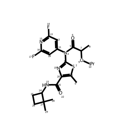 Cc1sc(N(C(=O)C(C)OC(C)C)c2cc(F)nc(F)c2)nc1C(=O)NC1CCC1(C)C